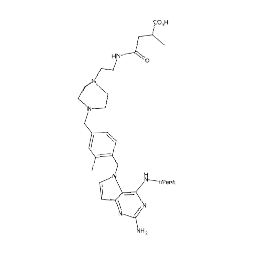 CCCCCNc1nc(N)nc2ccn(Cc3ccc(CN4CCN(CCNC(=O)CC(C)C(=O)O)CC4)cc3C)c12